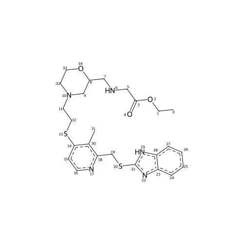 CCOC(=O)CNCC1CN(CCSc2ccnc(CSc3nc4ccccc4[nH]3)c2C)CCO1